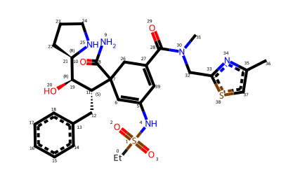 CCS(=O)(=O)NC1=CC(C(N)=O)([C@H](Cc2ccccc2)[C@@H](O)[C@H]2CCCN2)CC(C(=O)N(C)Cc2nc(C)cs2)=C1